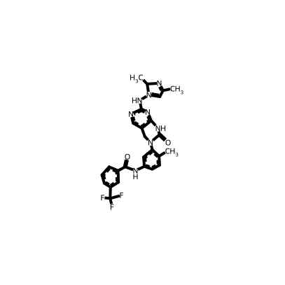 CC1=NC(C)[N+](Nc2ncc3c(n2)NC(=O)N(c2cc(NC(=O)c4cccc(C(F)(F)F)c4)ccc2C)C3)=C1